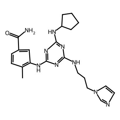 Cc1ccc(C(N)=O)cc1Nc1nc(NCCCn2ccnc2)nc(NC2CCCC2)n1